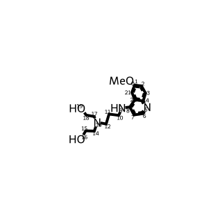 COc1ccc2nccc(NCCCN(CCO)CCO)c2c1